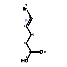 O=C(O)CC/C=C/Br